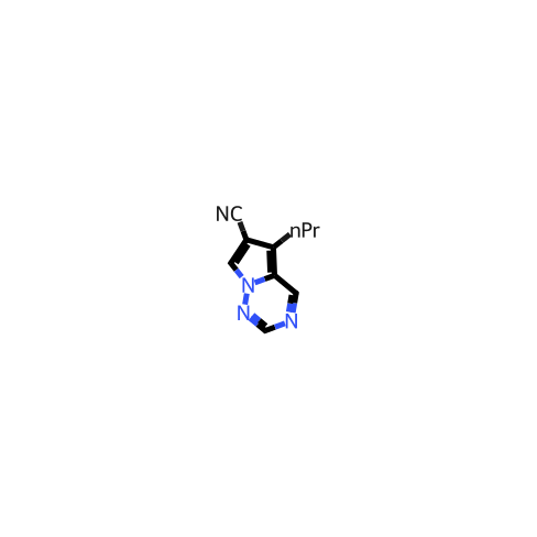 CCCc1c(C#N)cn2ncncc12